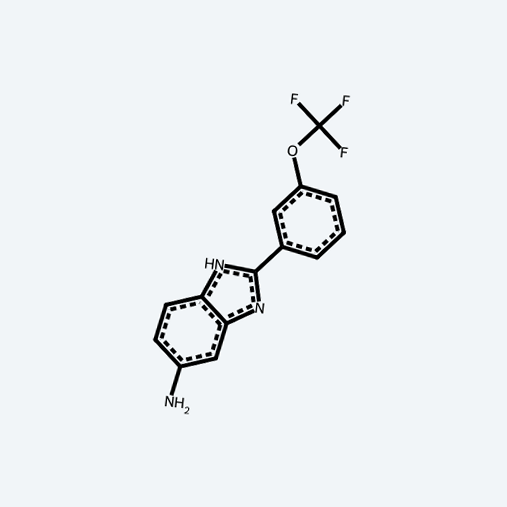 Nc1ccc2[nH]c(-c3cccc(OC(F)(F)F)c3)nc2c1